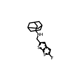 Fc1cc2cc(CNC34CC5CC(CC(C5)C3)C4)sc2s1